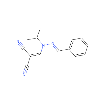 CC(C)N(C=C(C#N)C#N)N=Cc1ccccc1